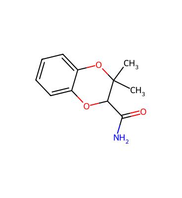 CC1(C)Oc2ccccc2OC1C(N)=O